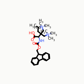 CCCC(C[N+](C)(C)C)(C[N+](C)(C)C)[C@@H](NC(=O)OCC1c2ccccc2-c2ccccc21)C(=O)O